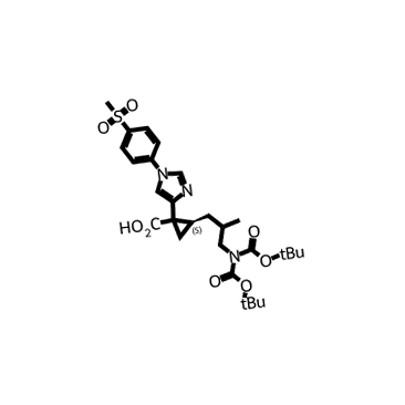 CC(C[C@H]1CC1(C(=O)O)c1cn(-c2ccc(S(C)(=O)=O)cc2)cn1)CN(C(=O)OC(C)(C)C)C(=O)OC(C)(C)C